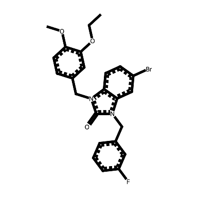 CCOc1cc(Cn2c(=O)n(Cc3cccc(F)c3)c3cc(Br)ccc32)ccc1OC